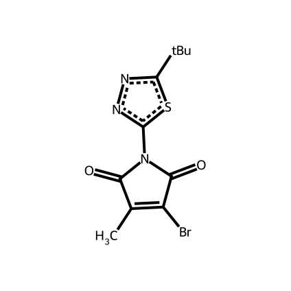 CC1=C(Br)C(=O)N(c2nnc(C(C)(C)C)s2)C1=O